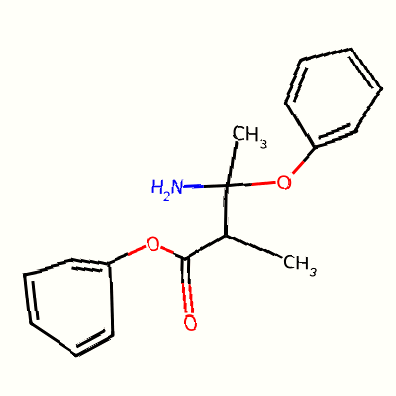 CC(C(=O)Oc1ccccc1)C(C)(N)Oc1ccccc1